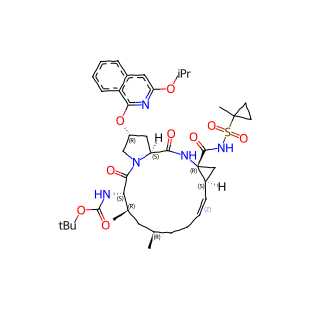 CC(C)Oc1cc2ccccc2c(O[C@@H]2C[C@H]3C(=O)N[C@]4(C(=O)NS(=O)(=O)C5(C)CC5)C[C@H]4/C=C\CC[C@@H](C)C[C@@H](C)[C@H](NC(=O)OC(C)(C)C)C(=O)N3C2)n1